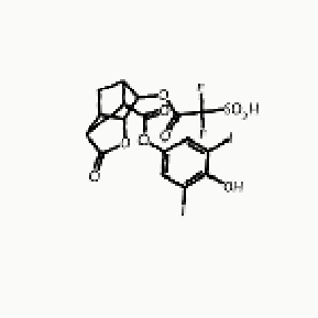 O=C1OC2C3CC(C2OC(=O)C(F)(F)S(=O)(=O)O)C(C(=O)Oc2cc(I)c(O)c(I)c2)C13